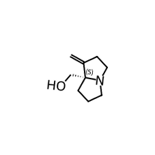 C=C1CCN2CCC[C@@]12CO